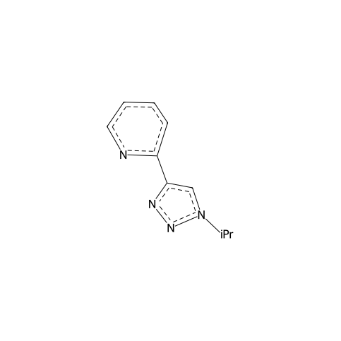 CC(C)n1cc(-c2ccccn2)nn1